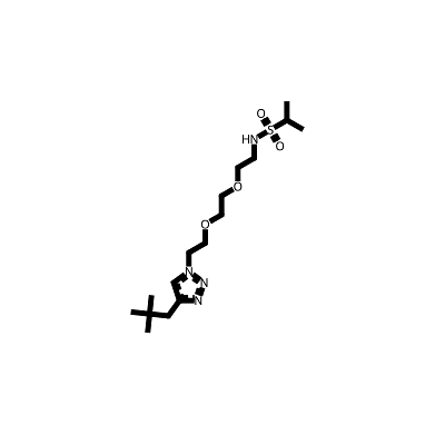 CC(C)S(=O)(=O)NCCOCCOCCn1cc(CC(C)(C)C)nn1